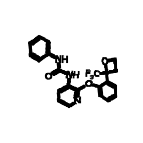 O=C(Nc1ccccc1)Nc1cccnc1Oc1ccccc1C1(C(F)(F)F)CCO1